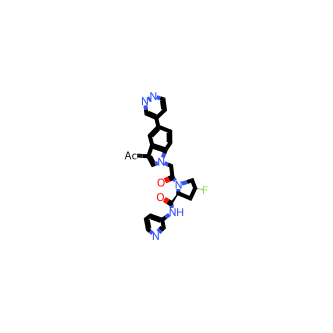 CC(=O)c1cn(CC(=O)N2C[C@H](F)C[C@H]2C(=O)Nc2cccnc2)c2ccc(-c3ccnnc3)cc12